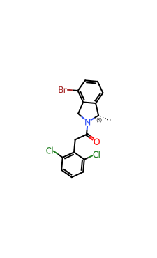 C[C@H]1c2cccc(Br)c2CN1C(=O)Cc1c(Cl)cccc1Cl